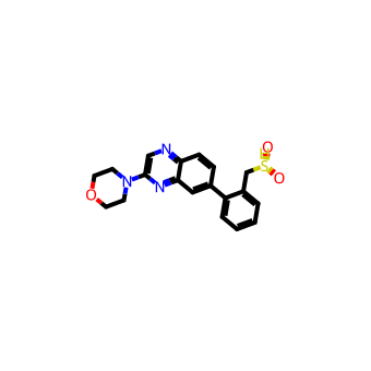 O=[SH](=O)Cc1ccccc1-c1ccc2ncc(N3CCOCC3)nc2c1